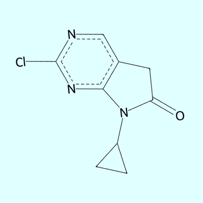 O=C1Cc2cnc(Cl)nc2N1C1CC1